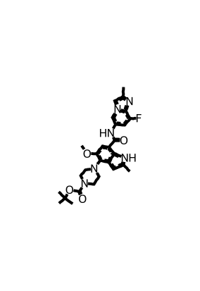 COc1cc(C(=O)Nc2cc(F)c3nc(C)cn3c2)c2[nH]c(C)cc2c1N1CCN(C(=O)OC(C)(C)C)CC1